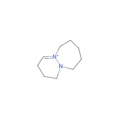 C1=[N+]2CCCCCN2CCC1